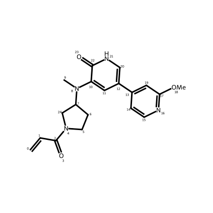 C=CC(=O)N1CCC(N(C)c2cc(-c3ccnc(OC)c3)c[nH]c2=O)C1